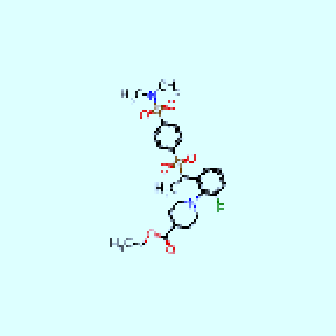 CCOC(=O)C1CCN(c2c(F)cccc2C(C)S(=O)(=O)c2ccc(S(=O)(=O)N(C)C)cc2)CC1